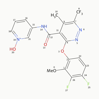 COc1c(Oc2nnc(C(F)(F)F)c(C)c2C(=O)Nc2ccc[n+](O)c2)ccc(F)c1F